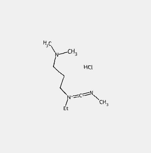 CC[N+](=C=NC)CCCN(C)C.Cl